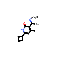 Cc1cc(C2CCC2)[nH]c(=O)c1C(NC(=O)O)C(C)(C)C